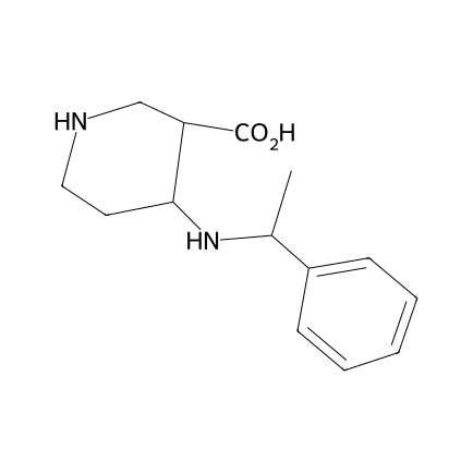 CC(NC1CCNCC1C(=O)O)c1ccccc1